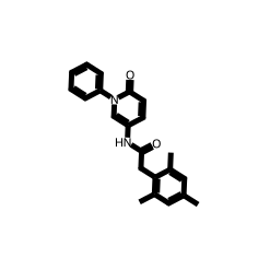 Cc1cc(C)c(CC(=O)Nc2ccc(=O)n(-c3ccccc3)c2)c(C)c1